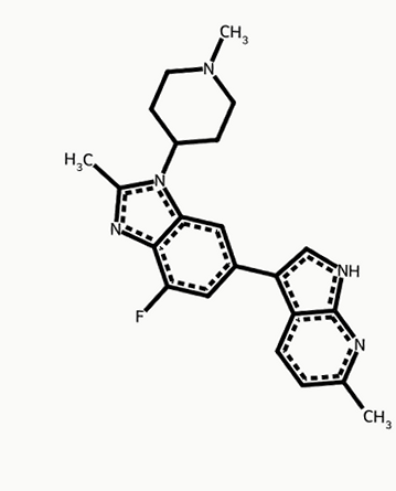 Cc1ccc2c(-c3cc(F)c4nc(C)n(C5CCN(C)CC5)c4c3)c[nH]c2n1